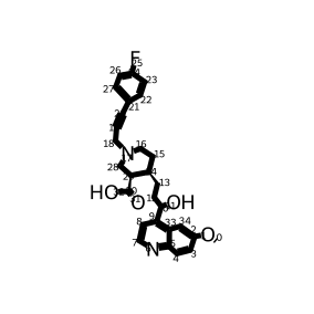 COc1ccc2nccc(C(O)CC[C@@H]3CCN(CC#Cc4ccc(F)cc4)C[C@@H]3C(=O)O)c2c1